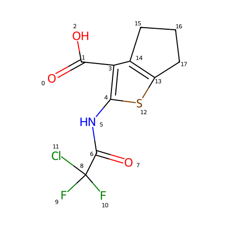 O=C(O)c1c(NC(=O)C(F)(F)Cl)sc2c1CCC2